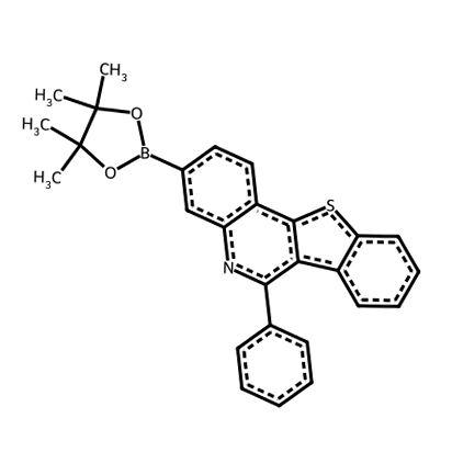 CC1(C)OB(c2ccc3c(c2)nc(-c2ccccc2)c2c4ccccc4sc32)OC1(C)C